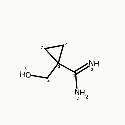 N=C(N)C1(CO)CC1